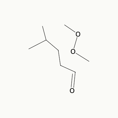 CC(C)CCC=O.COOC